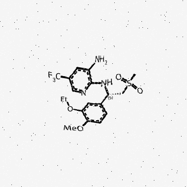 CCOc1cc([C@@H](CS(C)(=O)=O)Nc2ncc(C(F)(F)F)cc2N)ccc1OC